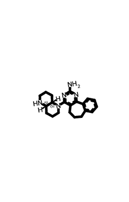 Nc1nc2c(c(N3CCC[C@@H]4NCCC[C@@H]43)n1)CCCc1ccccc1-2